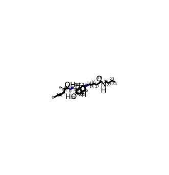 CC#CC[C@@H](C)[C@H](O)/C=C/[C@@H]1[C@H]2C/C(=C/CCCC(=O)NCCCC)C[C@H]2C[C@H]1O